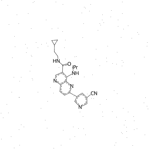 CC(C)Nc1c(C(=O)NCCC2CC2)cnc2ccc(-c3cncc(C#N)c3)nc12